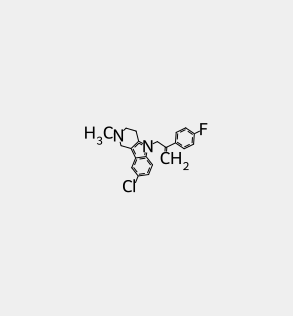 C=C(Cn1c2c(c3cc(Cl)ccc31)CN(C)CC2)c1ccc(F)cc1